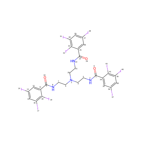 O=C(NCCN(CCNC(=O)c1cc(I)cc(I)c1I)CCNC(=O)c1cc(I)cc(I)c1I)c1cc(I)cc(I)c1I